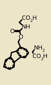 NCC(=O)O.O=C(O)CNC(=O)OCc1cccc2c1Cc1ccccc1-2